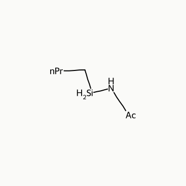 CCCC[SiH2]NC(C)=O